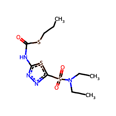 CCCSC(=O)Nc1nnc(S(=O)(=O)N(CC)CC)s1